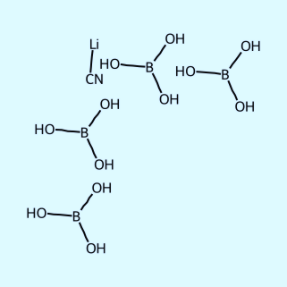 OB(O)O.OB(O)O.OB(O)O.OB(O)O.[Li][C]#N